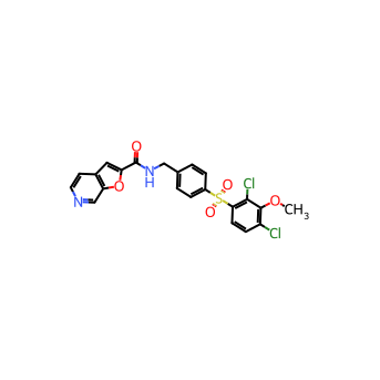 COc1c(Cl)ccc(S(=O)(=O)c2ccc(CNC(=O)c3cc4ccncc4o3)cc2)c1Cl